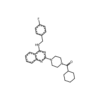 O=C(C1CCCCC1)N1CCN(c2nc(NCc3ccc(F)cc3)c3ccccc3n2)CC1